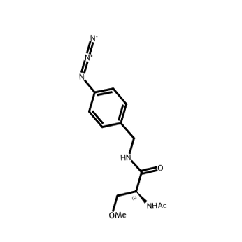 COC[C@H](NC(C)=O)C(=O)NCc1ccc(N=[N+]=[N-])cc1